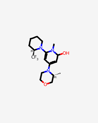 C[C@@H]1COCCN1C1=CC(O)N(C)C(N2CCCC[C@@H]2C(F)(F)F)=C1